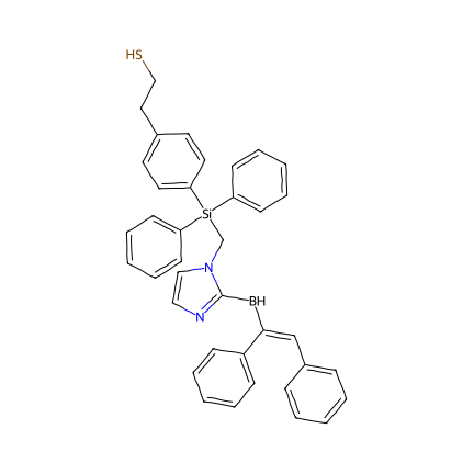 SCCc1ccc([Si](Cn2ccnc2BC(=Cc2ccccc2)c2ccccc2)(c2ccccc2)c2ccccc2)cc1